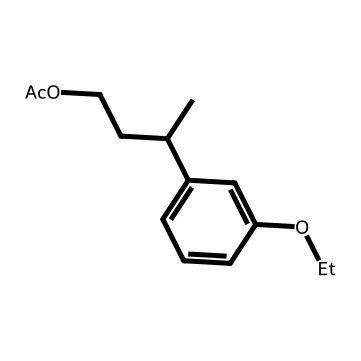 CCOc1cccc(C(C)CCOC(C)=O)c1